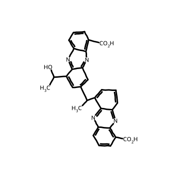 CC(O)c1cc(C(C)c2cccc3nc4c(C(=O)O)cccc4nc23)cc2nc3c(C(=O)O)cccc3nc12